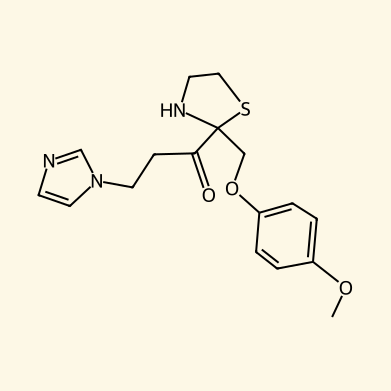 COc1ccc(OCC2(C(=O)CCn3ccnc3)NCCS2)cc1